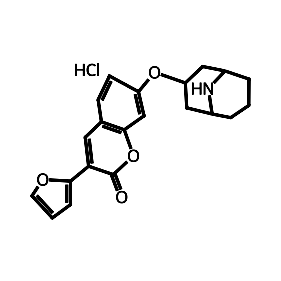 Cl.O=c1oc2cc(OC3CC4CCCC(C3)N4)ccc2cc1-c1ccco1